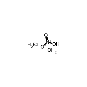 O.O=[N+]([O-])O.[BaH2]